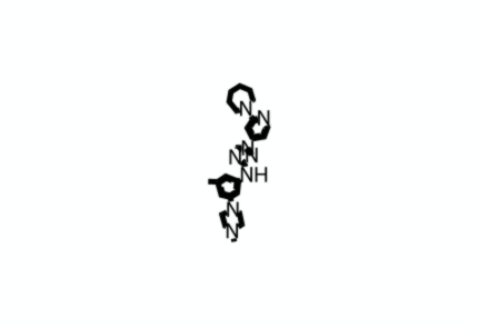 Cc1cc(Nc2ncn(-c3ccnc(N4CCCCCC4)c3)n2)cc(N2CCN(C)CC2)c1